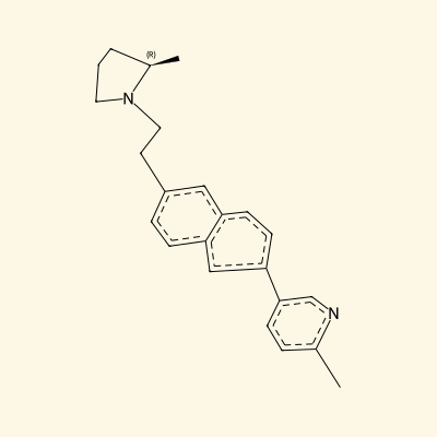 Cc1ccc(-c2ccc3cc(CCN4CCC[C@H]4C)ccc3c2)cn1